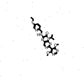 CCSc1ccc(CNc2nc3cnc(-c4c(OC)ncnc4OC)nc3n(C(C)C)c2=O)nc1